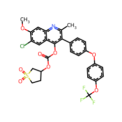 COc1cc2nc(C)c(-c3ccc(Oc4ccc(OC(F)(F)F)cc4)cc3)c(OC(=O)OC3CCS(=O)(=O)C3)c2cc1Cl